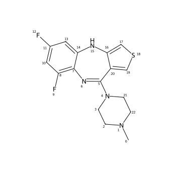 CN1CCN(C2=Nc3c(F)cc(F)cc3Nc3cscc32)CC1